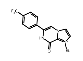 CC[n+]1ccn2cc(-c3ccc(C(F)(F)F)cc3)[nH]c(=O)c21